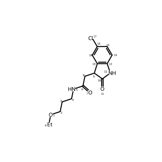 CCOCCCNC(=O)CC1C(=O)Nc2ccc(Cl)cc21